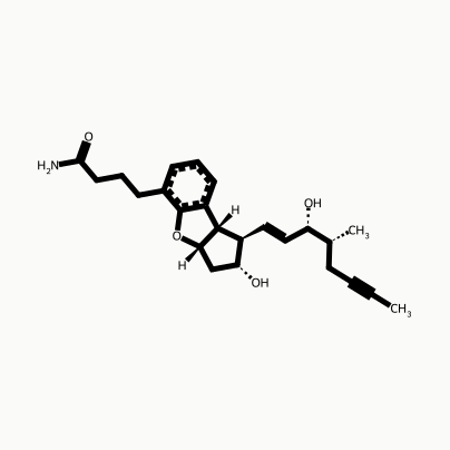 CC#CC[C@@H](C)[C@@H](O)/C=C/[C@@H]1[C@H]2c3cccc(CCCC(N)=O)c3O[C@H]2C[C@H]1O